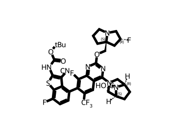 CC(C)(C)OC(=O)Nc1sc2c(F)ccc(-c3c(C(F)(F)F)cc4c(N5C[C@H]6CC[C@@H](C5)N6C(=O)O)nc(OC[C@@]56CCCN5C[C@H](F)C6)nc4c3F)c2c1C#N